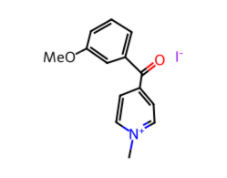 COc1cccc(C(=O)c2cc[n+](C)cc2)c1.[I-]